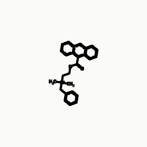 C[N+](C)(CCOC(=O)c1c2ccccc2cc2ccccc12)Cc1ccccc1